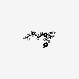 CCC(=O)OCOP(=O)(O)OCOC(=O)CC(CC)c1ccc(N(CC(C)C)CC(C)C)c(NC(=O)Nc2ccc(C)cc2)c1